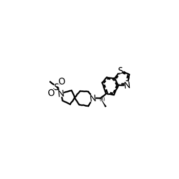 C[C@H](c1ccc2scnc2c1)N1CCC2(CC1)CCN(S(C)(=O)=O)C2